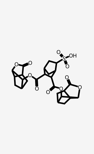 O=C1OC2C3CC(CC13)C2OC(=O)C1C2CC(C1C(=O)OC1C3CC4C(=O)OC1C4C3)C(S(=O)(=O)O)C2